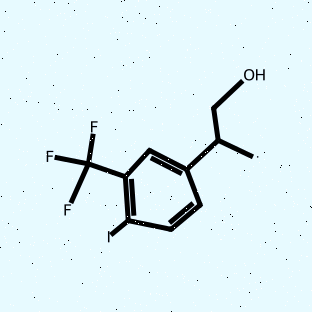 [CH2]C(CO)c1ccc(I)c(C(F)(F)F)c1